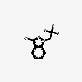 FC(F)(F)Cn1nc(Cl)c2ccccc21